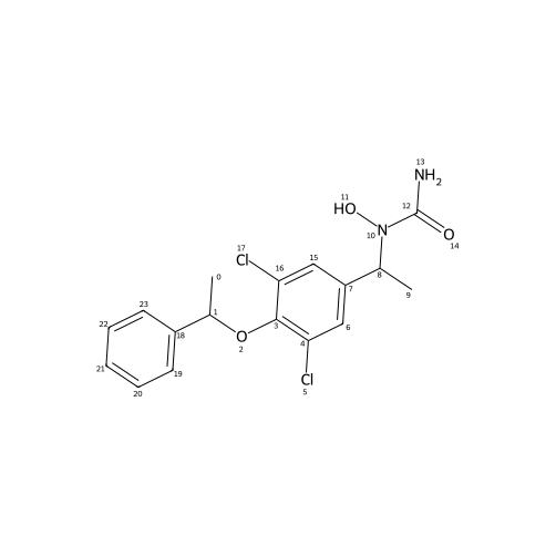 CC(Oc1c(Cl)cc(C(C)N(O)C(N)=O)cc1Cl)c1ccccc1